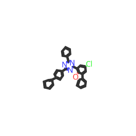 Clc1cc(-c2nc(-c3ccccc3)nc(-c3ccc(-c4ccccc4)cc3)n2)c2oc3ccccc3c2c1